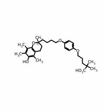 Cc1c(C)c2c(c(C)c1O)CC[C@@](C)(CCCCOc1ccc(OCCCC(C)(C)C(=O)O)cc1)O2